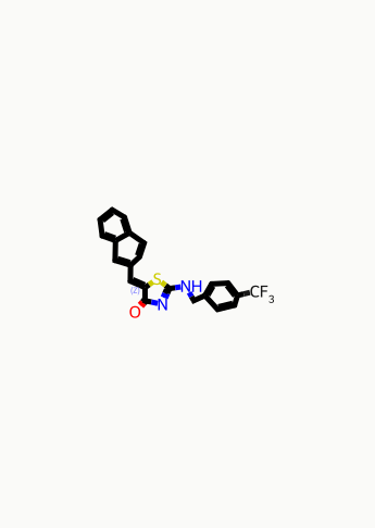 O=C1N=C(NCc2ccc(C(F)(F)F)cc2)S/C1=C\c1ccc2ccccc2c1